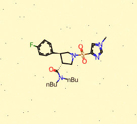 CCCCN(CCCC)C(=O)[C@H]1CN(S(=O)(=O)c2cn(C)cn2)C[C@@H]1c1ccc(F)cc1